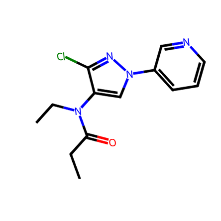 CCC(=O)N(CC)c1cn(-c2cccnc2)nc1Cl